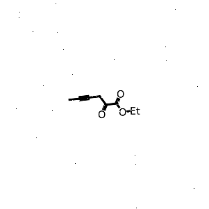 CC#CCC(=O)C(=O)OCC